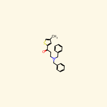 Cc1csc(C(=O)CCN(Cc2ccccc2)Cc2ccccc2)c1